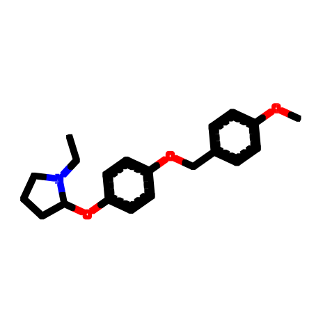 CCN1CCCC1Oc1ccc(OCc2ccc(OC)cc2)cc1